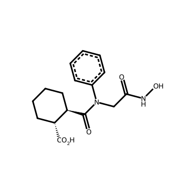 O=C(CN(C(=O)[C@@H]1CCCC[C@H]1C(=O)O)c1ccccc1)NO